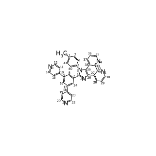 Cc1ccc(-n2c(-c3cc(-c4ccncc4)cc(-c4ccncc4)c3)nc3c4cccnc4c4ncccc4c32)cc1